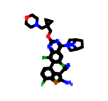 N#Cc1c(N)sc2c(F)ccc(-c3c(Cl)cc4c(N5CC6CCC(C5)N6)nc(OCC5(CN6CCOCC6)CC5)nc4c3F)c12